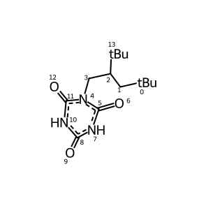 CC(C)(C)CC(Cn1c(=O)[nH]c(=O)[nH]c1=O)C(C)(C)C